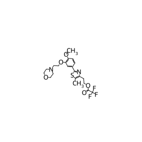 COc1ccc(-c2nc(CCOC(=O)C(F)(F)F)c(C)s2)cc1OCCN1CCOCC1